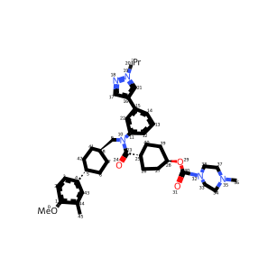 COc1ccc([C@H]2CC[C@H](CN(c3cccc(-c4cnn(C(C)C)c4)c3)C(=O)[C@H]3CC[C@H](OC(=O)N4CCN(C)CC4)CC3)CC2)cc1C